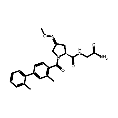 CON=C1C[C@@H](C(=O)NCC(N)=O)N(C(=O)c2ccc(-c3ccccc3C)cc2C)C1